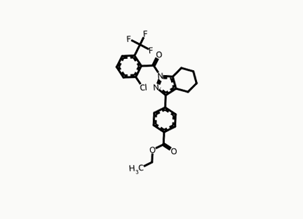 CCOC(=O)c1ccc(-c2nn(C(=O)c3c(Cl)cccc3C(F)(F)F)c3c2CCCC3)cc1